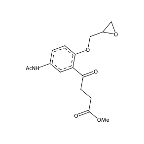 COC(=O)CCC(=O)c1cc(NC(C)=O)ccc1OCC1CO1